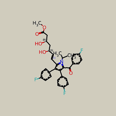 COC(=O)C[C@H](O)C[C@H](O)/C=C/c1c(-c2ccc(F)cc2)c(-c2ccc(F)cc2)c(C(=O)c2ccc(F)cc2)n1C(C)C